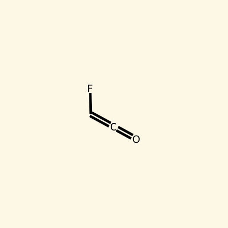 O=C=CF